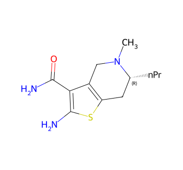 CCC[C@@H]1Cc2sc(N)c(C(N)=O)c2CN1C